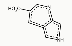 O=C(O)c1cnc2c[nH]cc2c1